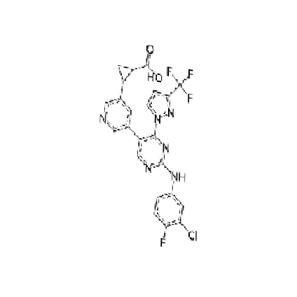 O=C(O)C1CC1c1cncc(-c2cnc(Nc3ccc(F)c(Cl)c3)nc2-n2ccc(C(F)(F)F)n2)c1